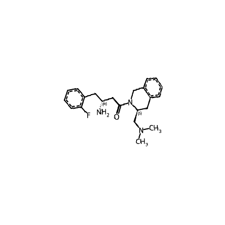 CN(C)C[C@@H]1Cc2ccccc2CN1C(=O)C[C@H](N)Cc1ccccc1F